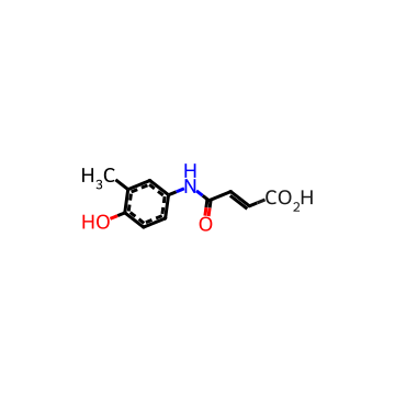 Cc1cc(NC(=O)C=CC(=O)O)ccc1O